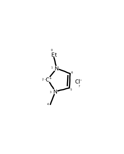 CCN1[C+]N(C)C=C1.[Cl-]